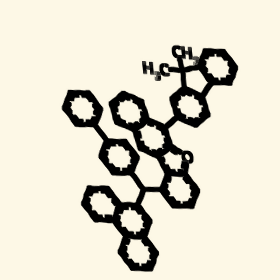 CC1(C)c2ccccc2-c2ccc(-c3c4ccccc4cc4c3oc3cccc(C(c5ccc(-c6ccccc6)cc5)c5cc6ccccc6c6ccccc56)c34)cc21